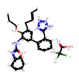 CC=CCc1cc(-c2ccccc2-c2nnn[nH]2)cc(Nc2nc3ccccc3o2)c1OCCC.O=C(O)C(F)(F)F